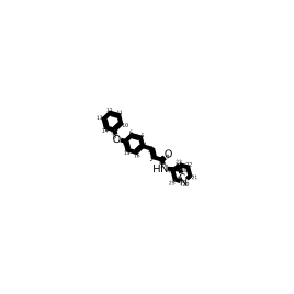 O=C(C=Cc1ccc(Oc2ccccc2)cc1)NC1CN2CCC1CC2